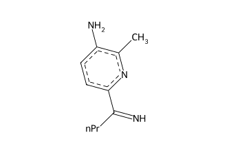 CCCC(=N)c1ccc(N)c(C)n1